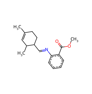 COC(=O)c1ccccc1N=CC1CCC(C)=CC1C